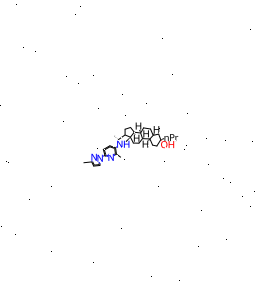 CCC[C@@]1(O)CC[C@H]2[C@H](CC[C@@H]3[C@@H]2CC[C@]2(C)C([C@@H](C)Nc4ccc(-n5ccc(C)n5)nc4C)CC[C@@H]32)C1